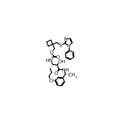 CCCC[C@H](NC(=O)OCC1(CSc2nccn2-c2ccccc2)CCC1)C(O)C(=O)N[C@H](C)c1ccccc1